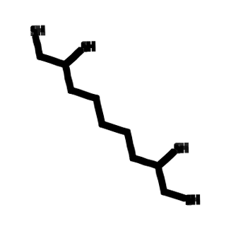 SCC(S)CCCCCC(S)CS